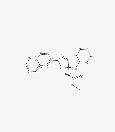 CNC(=N)NC(C=O)(COc1ccc2ccccc2c1)CC1CCCCC1